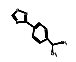 C[C@H](N)c1ccc(-c2ncon2)cc1